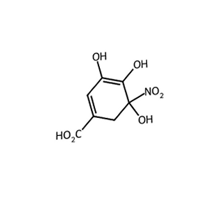 O=C(O)C1=CC(O)=C(O)C(O)([N+](=O)[O-])C1